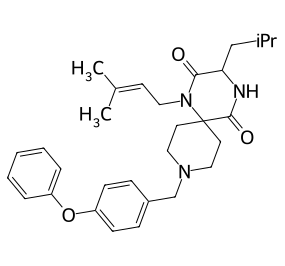 CC(C)=CCN1C(=O)C(CC(C)C)NC(=O)C12CCN(Cc1ccc(Oc3ccccc3)cc1)CC2